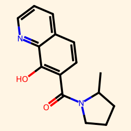 CC1CCCN1C(=O)c1ccc2cccnc2c1O